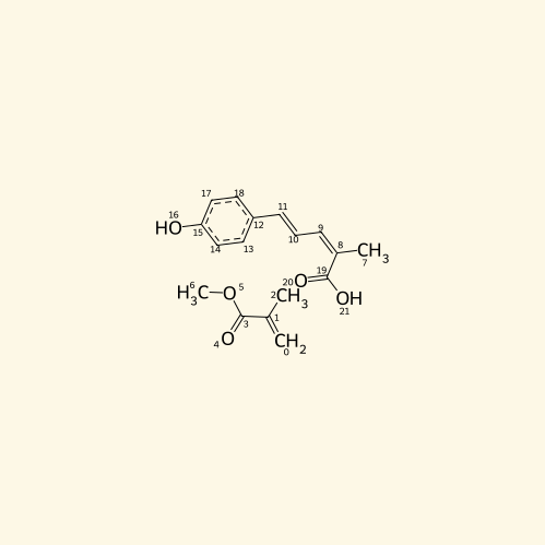 C=C(C)C(=O)OC.CC(=CC=Cc1ccc(O)cc1)C(=O)O